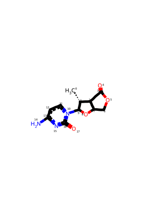 C[C@@H]1C2C(=O)OCC2OC1n1ccc(N)nc1=O